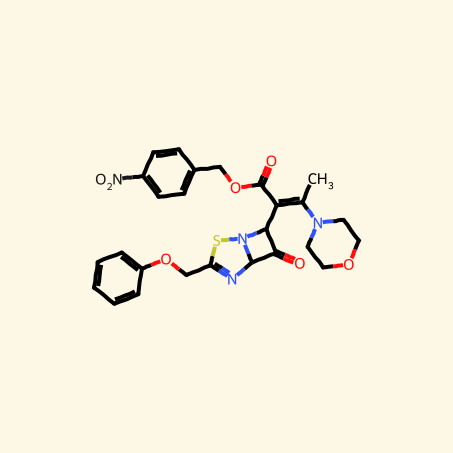 CC(=C(C(=O)OCc1ccc([N+](=O)[O-])cc1)C1C(=O)C2N=C(COc3ccccc3)SN21)N1CCOCC1